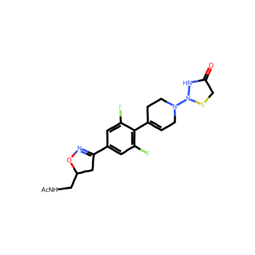 CC(=O)NCC1CC(c2cc(F)c(C3=CCN(N4NC(=O)CS4)CC3)c(F)c2)=NO1